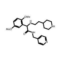 COc1ccc(OC)c(C(NCCC2CCNCC2)C(=O)NCc2ccncc2)c1